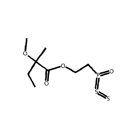 CCC(C)(OC)C(=O)OCCP(=O)=S=S